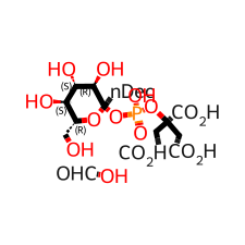 CCCCCCCCCCC1(OP(=O)(O)OC(CC(=O)O)(CC(=O)O)C(=O)O)O[C@H](CO)[C@@H](O)[C@H](O)[C@H]1O.O=CO